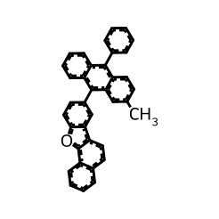 Cc1ccc2c(-c3ccccc3)c3ccccc3c(-c3ccc4oc5c6ccccc6ccc5c4c3)c2c1